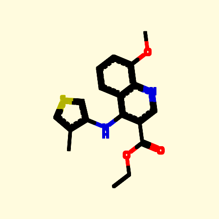 CCOC(=O)c1cnc2c(OC)cccc2c1Nc1cscc1C